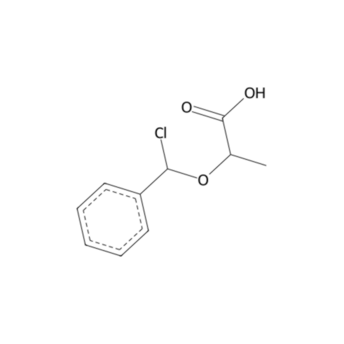 CC(OC(Cl)c1ccccc1)C(=O)O